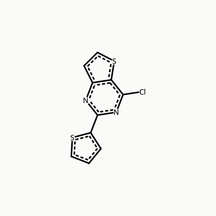 Clc1nc(-c2cccs2)nc2ccsc12